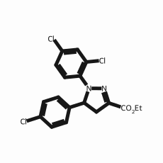 CCOC(=O)C1=NN(c2ccc(Cl)cc2Cl)C(c2ccc(Cl)cc2)C1